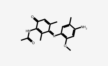 COc1cc(N)c(C)cc1N=C1C(C)=CC(=O)C(NC(C)=O)=C1C